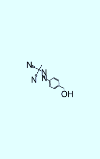 CC(C#N)(C#N)N=Nc1ccc(CO)cc1